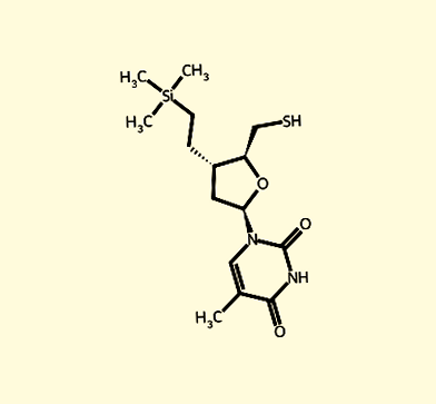 Cc1cn([C@H]2C[C@H](CC[Si](C)(C)C)[C@@H](CS)O2)c(=O)[nH]c1=O